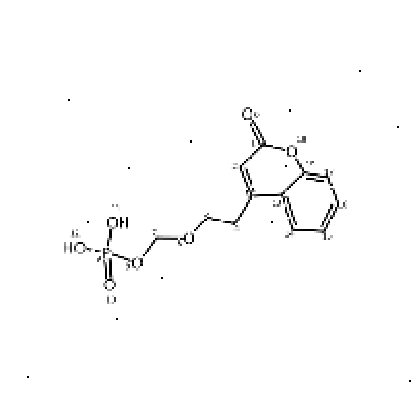 O=c1cc(CCOCOP(=O)(O)O)c2ccccc2o1